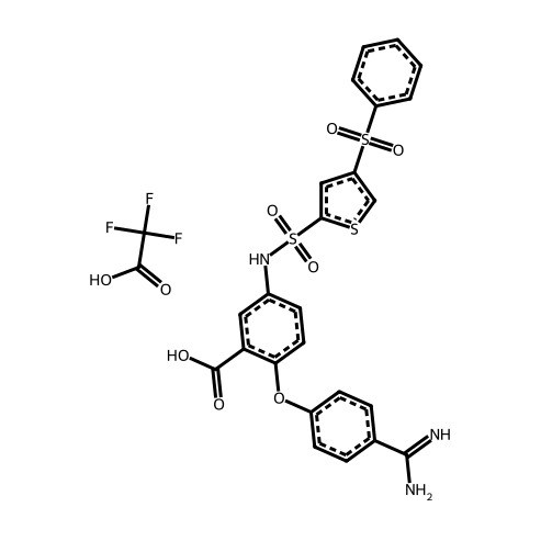 N=C(N)c1ccc(Oc2ccc(NS(=O)(=O)c3cc(S(=O)(=O)c4ccccc4)cs3)cc2C(=O)O)cc1.O=C(O)C(F)(F)F